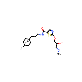 CC12CCC(CCCNC(=O)c3cnc(OCC(O)CNC(C)(C)C)s3)(CC1)CC2